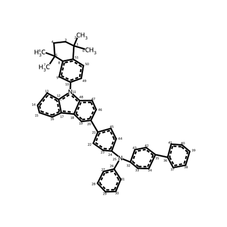 CC1(C)CCC(C)(C)c2cc(-n3c4ccccc4c4cc(-c5ccc(N(c6ccccc6)c6ccc(-c7ccccc7)cc6)cc5)ccc43)ccc21